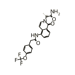 C[C@H](C(N)=O)n1ccc2c(NC(=O)Cc3ccc(OC(F)(F)F)cc3)cccc2c1=O